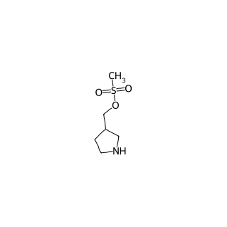 CS(=O)(=O)OCC1CCNC1